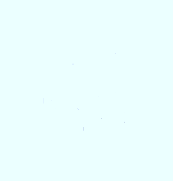 CC(C)(C)N(C(=O)O)C1(CO)CCCCCC1